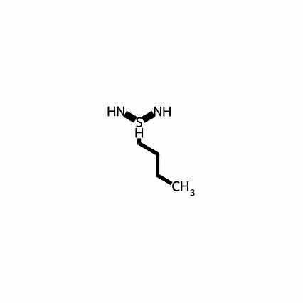 CCCC[SH](=N)=N